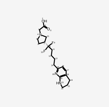 O=C(O)CN1CC[C@@H](C(F)(F)CCCCc2ccc3c(n2)NCCC3)C1